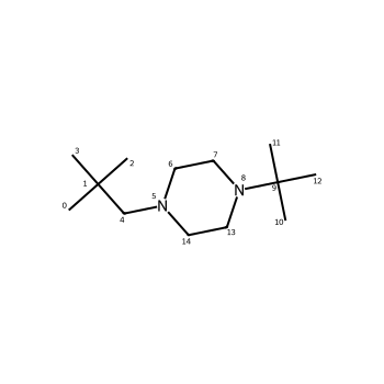 CC(C)(C)CN1CCN(C(C)(C)C)CC1